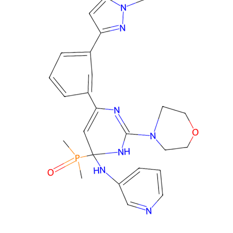 Cn1ccc(-c2cccc(C3=CC(Nc4cccnc4)(P(C)(C)=O)NC(N4CCOCC4)=N3)c2)n1